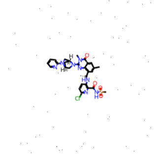 Cc1cc([C@@H](C)Nc2ccc(Cl)nc2C(=O)NS(C)(=O)=O)c2nc(N3C[C@H]4C[C@@H]3CN4c3ccccn3)n(C)c(=O)c2c1